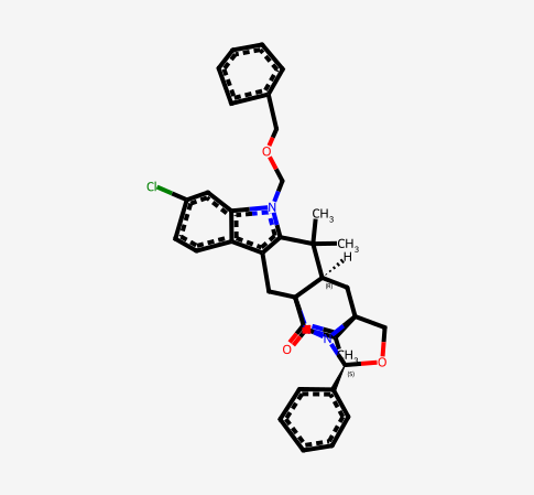 CC1=NC23Cc4c(n(COCc5ccccc5)c5cc(Cl)ccc45)C(C)(C)[C@H]2CC12CO[C@@H](c1ccccc1)N2C3=O